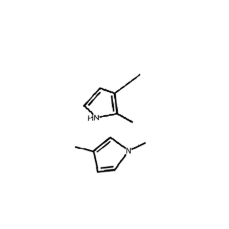 Cc1cc[nH]c1C.Cc1ccn(C)c1